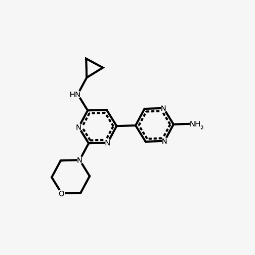 Nc1ncc(-c2cc(NC3CC3)nc(N3CCOCC3)n2)cn1